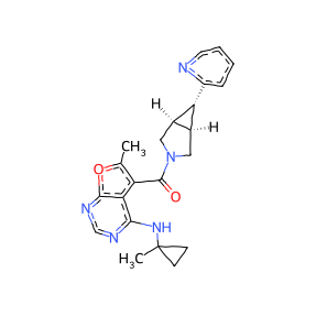 Cc1oc2ncnc(NC3(C)CC3)c2c1C(=O)N1C[C@@H]2[C@H](C1)[C@H]2c1ccccn1